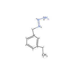 CCc1cccc(CN=NN)c1